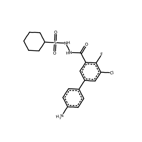 Nc1ccc(-c2cc(Cl)c(F)c(C(=O)NNS(=O)(=O)C3CCCCC3)c2)cc1